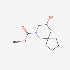 CC(C)(C)OC(=O)N1CC(O)CC2(CCCC2)C1